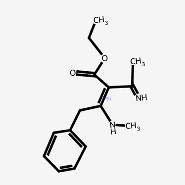 CCOC(=O)/C(C(C)=N)=C(\Cc1ccccc1)NC